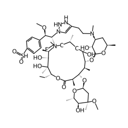 CC[C@H]1OC(=O)[C@H](C)[C@@H](O[C@H]2C[C@@](C)(OC)[C@@H](O)[C@H](C)O2)[C@H](C)[C@@H](O[C@@H]2O[C@H](C)C[C@H](N(C)CCC3=CN([C@H](CF)[C@H](OC)c4ccc([SH](=O)=O)cc4)NN3)[C@H]2O)[C@](C)(O)C[C@@H](C)CN(C)[C@H](C)[C@@H](O)[C@]1(C)O